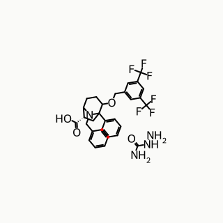 NNC(N)=O.O=C(O)[C@H]1CC2(c3ccccc3)C(OCc3cc(C(F)(F)F)cc(C(F)(F)F)c3)CCC1N2Cc1ccccc1